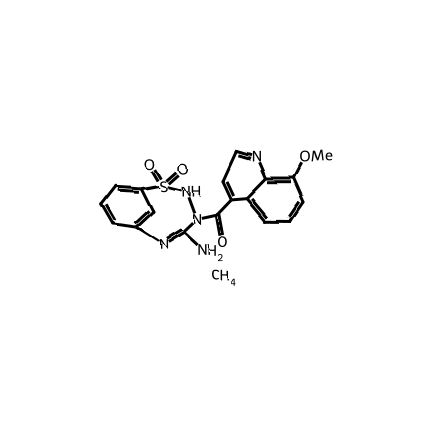 C.COc1cccc2c(C(=O)N3NS(=O)(=O)c4cccc(c4)N=C3N)ccnc12